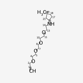 C#CCOCCOCCOCCOCCNC1CCC(C)C1